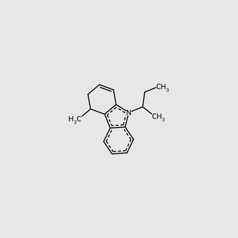 CCC(C)n1c2c(c3ccccc31)C(C)CC=C2